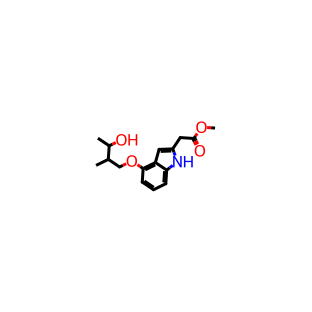 COC(=O)Cc1cc2c(OCC(C)C(C)O)cccc2[nH]1